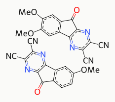 COc1cc2c(cc1OC)-c1nc(C#N)c(C#N)nc1C2=O.COc1ccc2c(c1)-c1nc(C#N)c(C#N)nc1C2=O